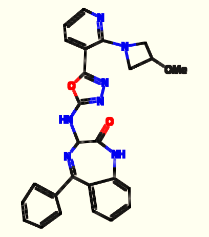 COC1CN(c2ncccc2-c2nnc(NC3N=C(c4ccccc4)c4ccccc4NC3=O)o2)C1